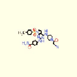 Cc1ccc(S(=O)(=O)n2ccc3c(NC4CCN(C(=O)CC#N)CC4)nc(Nc4ccc(C(N)=O)cc4)nc32)cc1